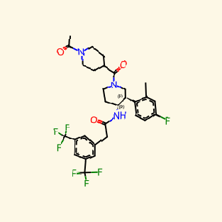 CC(=O)N1CCC(C(=O)N2CC[C@@H](NC(=O)Cc3cc(C(F)(F)F)cc(C(F)(F)F)c3)[C@H](c3ccc(F)cc3C)C2)CC1